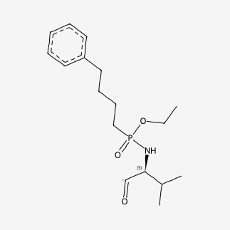 CCOP(=O)(CCCCc1ccccc1)N[C@H]([C]=O)C(C)C